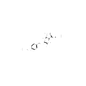 COC(=O)c1nc(Cl)c(OCc2ccc(OC)cc2)nc1N